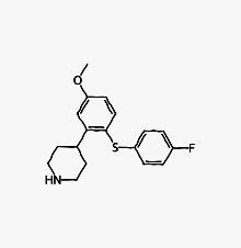 COc1ccc(Sc2ccc(F)cc2)c(C2CCNCC2)c1